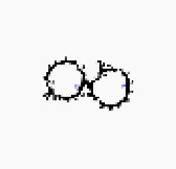 O=C1CCCCCCCC/C(C2CCCCCC/C=C\CCOC(=O)C2)=C\CCN1